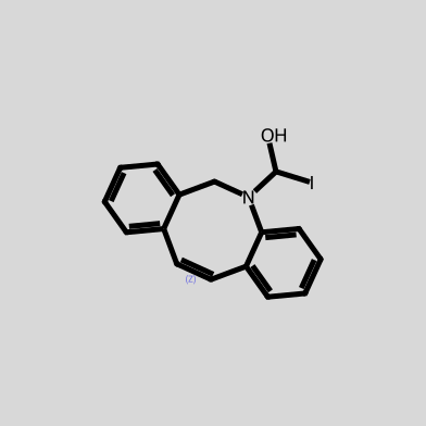 OC(I)N1Cc2ccccc2/C=C\c2ccccc21